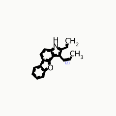 C=Cc1[nH]c2ccc3c4ccccc4oc3c2c1/C=C\C